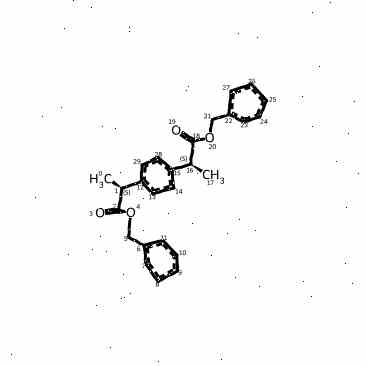 C[C@H](C(=O)OCc1ccccc1)c1ccc([C@H](C)C(=O)OCc2ccccc2)cc1